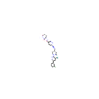 O=C1CCC(NC(=O)c2ccc(CNCC3CCN(c4ncc(-c5cccc(Cl)c5)cc4C(F)(F)F)CC3)nc2)C(=O)N1